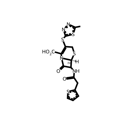 Cc1nnc(SC2=C(C(=O)O)N3C(=O)C(NC(=O)Cc4cccs4)[C@@H]3SC2)s1